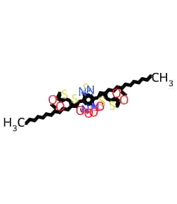 CCCCCCCCCCCCc1cc(-c2c([N+](=O)[O-])c([N+](=O)[O-])c(-c3cc(CCCCCCCCCCCC)c(-c4scc5c4OCCO5)s3)c3nsnc23)sc1-c1scc2c1OCCO2